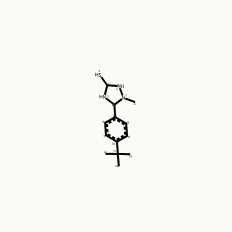 CN1NC(S)NC1c1ccc(C(C)(C)C)cc1